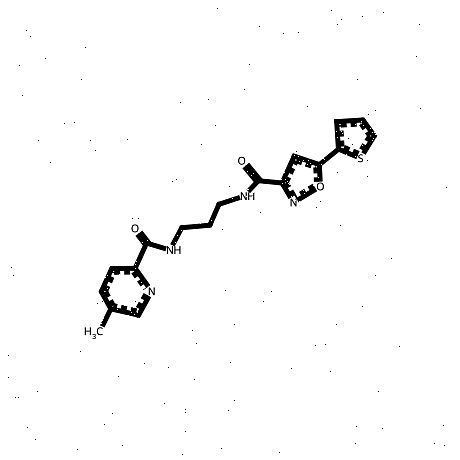 Cc1ccc(C(=O)NCCCNC(=O)c2cc(-c3cccs3)on2)nc1